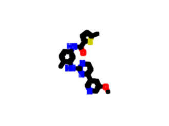 COc1cncc(-c2ccnc(Nc3cc(NC(=O)c4ccc(C)s4)ccc3C)n2)c1